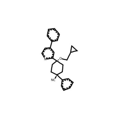 N#C[C@]1(c2ccccc2)CC[C@](OCC2CC2)(c2cc(-c3ccccc3)ccn2)CC1